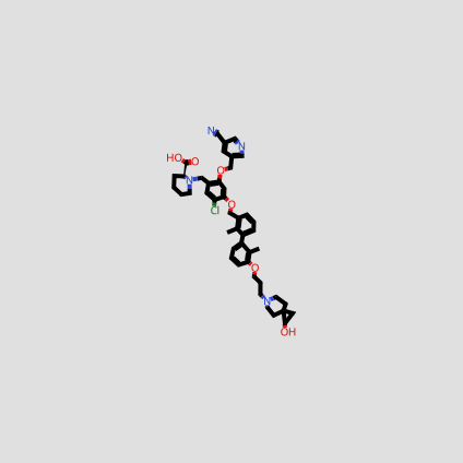 Cc1c(COc2cc(OCc3cncc(C#N)c3)c(CN3CCCC[C@H]3C(=O)O)cc2Cl)cccc1-c1cccc(OCCCN2CCC3(CC2)CC3O)c1C